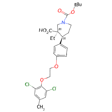 CC[C@]1(C(=O)O)CN(C(=O)OC(C)(C)C)CC[C@H]1c1ccc(OCCOc2c(Cl)cc(C)cc2Cl)cc1